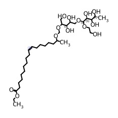 CCOC(=O)CCCCCCCCC/C=C\CCCCCC(C)OCOC(CO)[C@@H](O)C(O)CO[C@H](OCCO)[C@@H](O)C(O)[C@@H](C)O